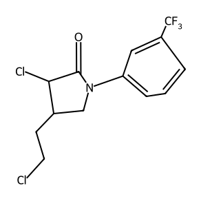 O=C1C(Cl)C(CCCl)CN1c1cccc(C(F)(F)F)c1